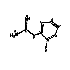 N=C(N)Cc1ccccc1F